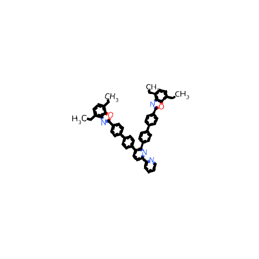 CCc1ccc(CC)c2oc(-c3ccc(-c4ccc(-c5ccc(-c6ccccn6)nc5-c5ccc(-c6ccc(-c7nc8c(CC)ccc(CC)c8o7)cc6)cc5)cc4)cc3)nc12